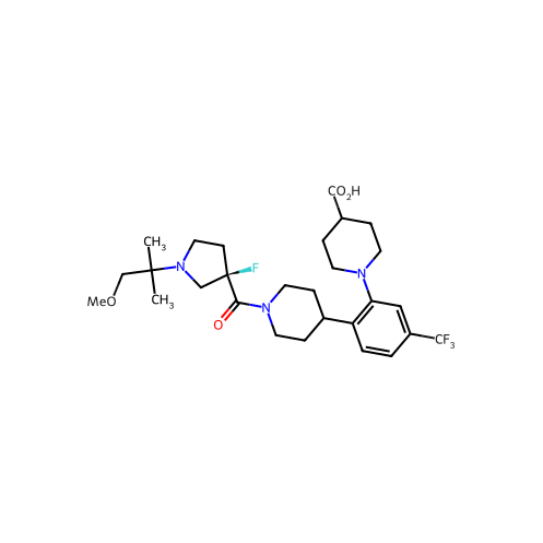 COCC(C)(C)N1CC[C@](F)(C(=O)N2CCC(c3ccc(C(F)(F)F)cc3N3CCC(C(=O)O)CC3)CC2)C1